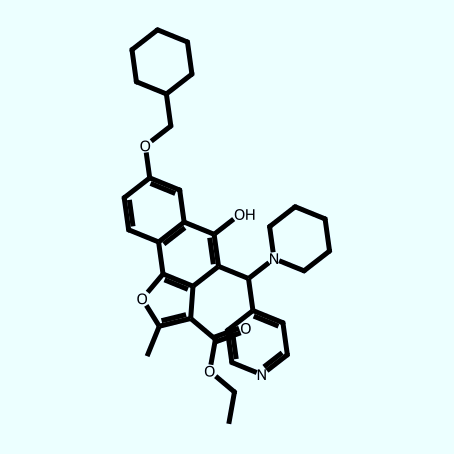 CCOC(=O)c1c(C)oc2c1c(C(c1ccncc1)N1CCCCC1)c(O)c1cc(OCC3CCCCC3)ccc12